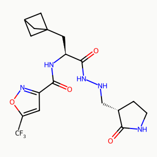 O=C(N[C@@H](CC12CC(C1)C2)C(=O)NNC[C@@H]1CCNC1=O)c1cc(C(F)(F)F)on1